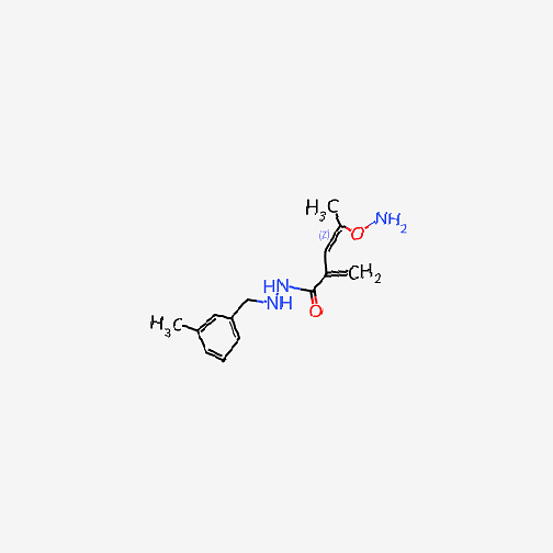 C=C(/C=C(/C)ON)C(=O)NNCc1cccc(C)c1